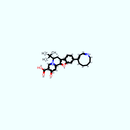 CC(C)(C)C1Cc2c(oc3cc(/C4=C/C=N\CCCCC4)ccc23)-c2cc(=O)c(C(=O)O)cn21